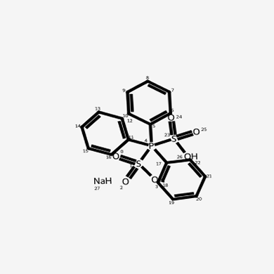 O=S(=O)(O)P(c1ccccc1)(c1ccccc1)(c1ccccc1)S(=O)(=O)O.[NaH]